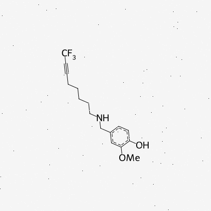 COc1cc(CNCCCCCC#CC(F)(F)F)ccc1O